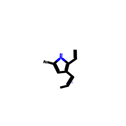 C=Cc1[nH]c(C(C)=O)cc1/C=C\C